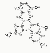 Cc1ccc2cc(-c3cc4c(=O)cc[nH]c4nc3-c3ccc(C)o3)cc(Cl)c2n1